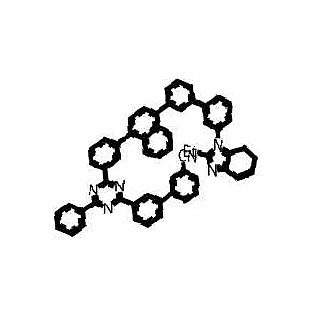 CCc1nc2c(n1-c1cccc(-c3cccc(-c4ccc(-c5cccc(-c6nc(-c7ccccc7)nc(-c7cccc(-c8cccc(C#N)c8)c7)n6)c5)c5ccccc45)c3)c1)CCC=C2